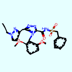 CCn1ccc(-c2nnc(C(=O)NS(=O)(=O)Cc3ccccc3)n2-c2c(OC)cccc2OC)n1